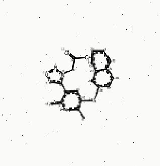 Cc1[nH]c(=O)c(-c2nnnn2CC(=O)O)cc1Sc1ccc2ccccc2c1